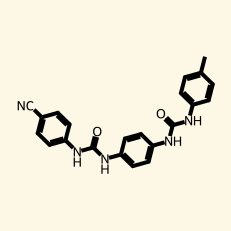 Cc1ccc(NC(=O)Nc2ccc(NC(=O)Nc3ccc(C#N)cc3)cc2)cc1